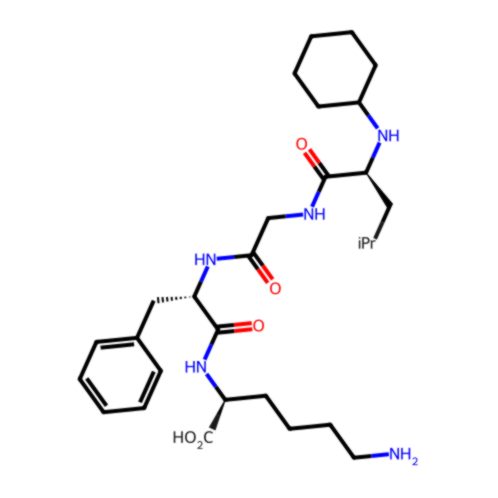 CC(C)C[C@H](NC1CCCCC1)C(=O)NCC(=O)N[C@@H](Cc1ccccc1)C(=O)N[C@@H](CCCCN)C(=O)O